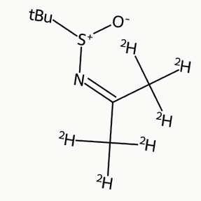 [2H]C([2H])([2H])C(=N[S+]([O-])C(C)(C)C)C([2H])([2H])[2H]